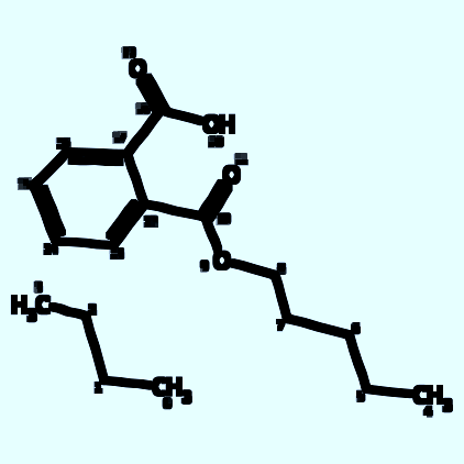 CCCC.CCCCCOC(=O)c1ccccc1C(=O)O